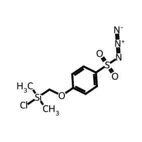 C[Si](C)(Cl)COc1ccc(S(=O)(=O)N=[N+]=[N-])cc1